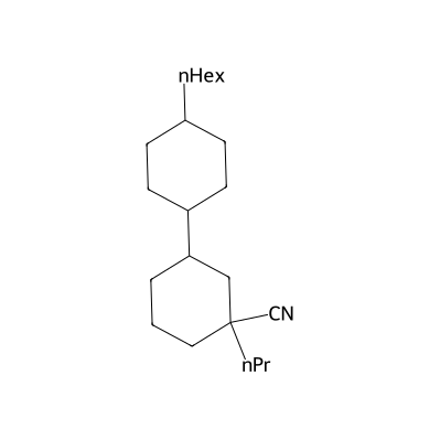 CCCCCCC1CCC(C2CCCC(C#N)(CCC)C2)CC1